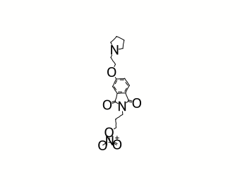 O=C1c2ccc(OCCN3CCCC3)cc2C(=O)N1CCCO[N+](=O)[O-]